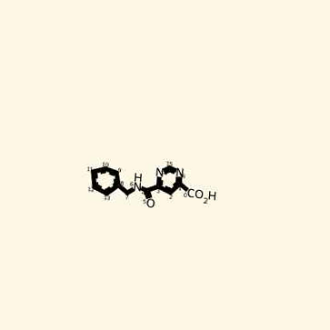 O=C(O)c1cc(C(=O)NCc2ccccc2)ncn1